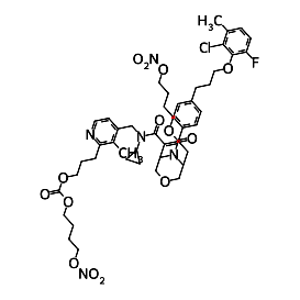 Cc1ccc(F)c(OCCCc2ccc(C3=C(C(=O)N(Cc4ccnc(CCCOC(=O)OCCCCO[N+](=O)[O-])c4C)C4CC4)C4COCC(C3)N4C(=O)OCCCCO[N+](=O)[O-])cc2)c1Cl